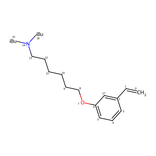 C=Cc1cccc(OCCCCCCN(C(C)CC)C(C)CC)c1